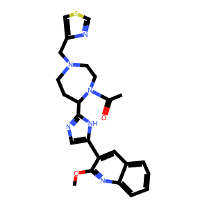 COc1nc2ccccc2cc1-c1cnc(C2CCN(Cc3cscn3)CCN2C(C)=O)[nH]1